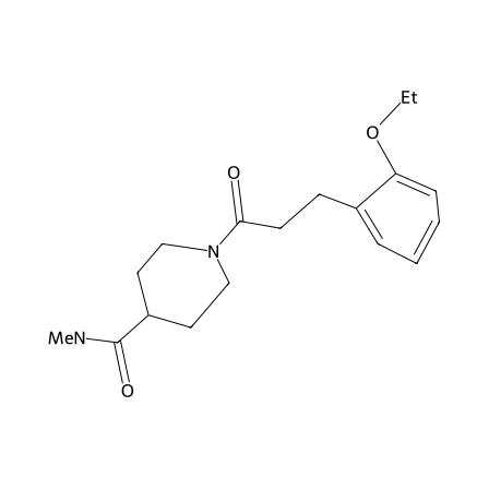 CCOc1ccccc1CCC(=O)N1CCC(C(=O)NC)CC1